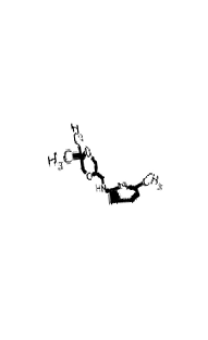 Cc1cccc(NCC2COC(C)(C)CO2)n1